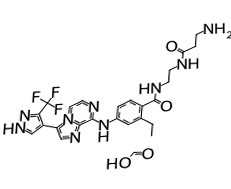 CCc1cc(Nc2nccn3c(-c4c[nH]nc4C(F)(F)F)cnc23)ccc1C(=O)NCCNC(=O)CCN.O=CO